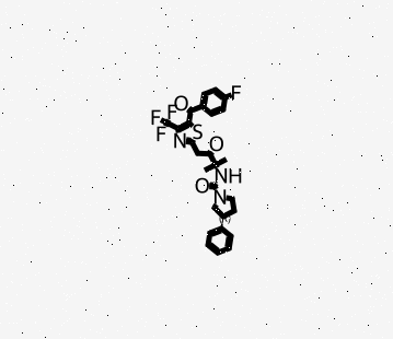 CC(C)(NC(=O)N1CC[C@H](c2ccccc2)C1)C(=O)Cc1nc(C(F)(F)F)c(C(=O)c2ccc(F)cc2)s1